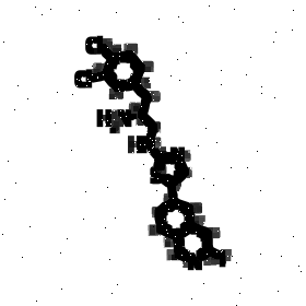 N[C@@H](CNc1ncc(-c2ccc3cnc(F)cc3c2)s1)Cc1ccc(Cl)c(Cl)c1